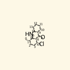 Cc1ccc(Cl)c2c(=O)c3ccccc3[nH]c12